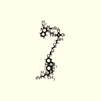 CCCCc1nc2c(N)nc3ccccc3c2n1CCNc1c(NCCOCCOCCO[C@H]2CC[C@@]3(C)C(=CC[C@H]4[C@@H]5CC[C@H]([C@H](C)CCCC(C)C)[C@@]5(C)CC[C@@H]43)C2)c(=O)c1=O